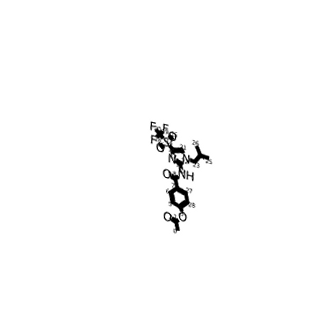 CC(=O)Oc1ccc(C(=O)Nc2nc(S(=O)(=O)C(F)(F)F)cn2CC(C)C)cc1